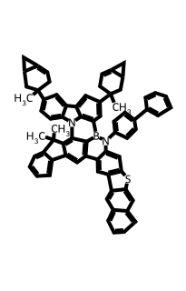 CC1(c2ccc3c(c2)c2cc(C4(C)CC=C5CC5C4)cc4c2n3-c2c3c(cc5c2C(C)(C)c2ccccc2-5)-c2cc5c(cc2N(c2ccc(-c6ccccc6)cc2)B34)sc2cc3ccccc3cc25)CC=C2CC2C1